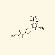 CC(C)CNC(=O)Nc1ccc(-c2nc(N)cc(C3(S(C)(=O)=O)CCCC3)n2)cc1